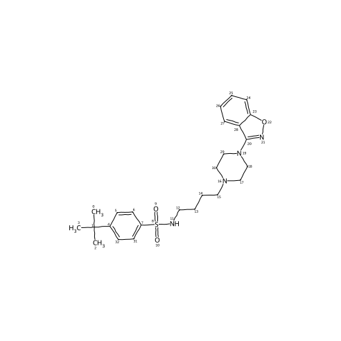 CC(C)(C)c1ccc(S(=O)(=O)NCCCCN2CCN(c3noc4ccccc34)CC2)cc1